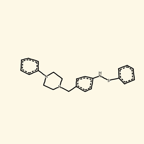 c1ccc(SNc2ccc(CN3CCN(c4ccccc4)CC3)cc2)cc1